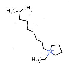 CC[N+]1(CCCCCCCC(C)C)CCCC1